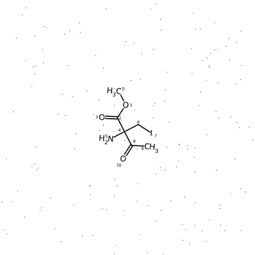 COC(=O)C(N)(CI)C(C)=O